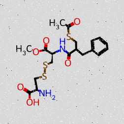 COC(=O)[C@H](CSSCC(N)C(=O)O)NC(=O)C(CSC(C)=O)Cc1ccccc1